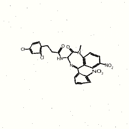 CN1C(=O)[C@H](NC(=O)CCc2ccc(Cl)cc2Cl)N=C(c2ccccc2[N+](=O)[O-])c2cc([N+](=O)[O-])ccc21